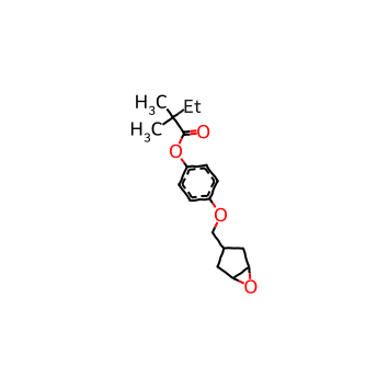 CCC(C)(C)C(=O)Oc1ccc(OCC2CC3OC3C2)cc1